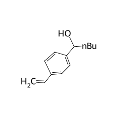 C=Cc1ccc(C(O)CCCC)cc1